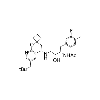 CC(=O)N[C@@H](Cc1ccc(C)c(F)c1)[C@H](O)CN[C@H]1CC2(CCC2)Oc2ncc(CC(C)(C)C)cc21